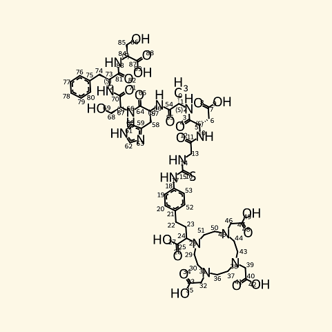 C[C@H](NC(=O)[C@H](CC(=O)O)NC(=O)CNC(=S)Nc1ccc(CCC(C(=O)O)N2CCN(CC(=O)O)CCN(CC(=O)O)CCN(CC(=O)O)CC2)cc1)C(=O)N[C@@H](Cc1c[nH]cn1)C(=O)N[C@@H](CO)C(=O)N[C@@H](Cc1ccccc1)C(=O)N[C@@H](CO)C(=O)O